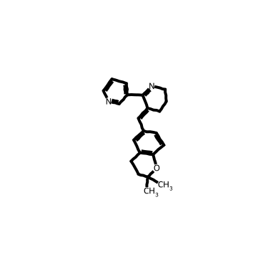 CC1(C)CCc2cc(C=C3CCCN=C3c3cccnc3)ccc2O1